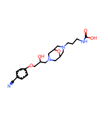 N#Cc1ccc(OCC(O)CN2CC3CN(CCCNC(=O)O)CC(C2)O3)cc1